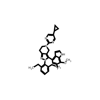 CCc1cccc(CC)c1-n1nc2c(c1-c1cc(F)c(OC)c3[nH]ccc13)CN(c1ncc(C3CC3)cn1)CC2